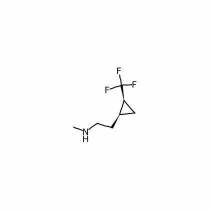 CNCC[C@@H]1C[C@@H]1C(F)(F)F